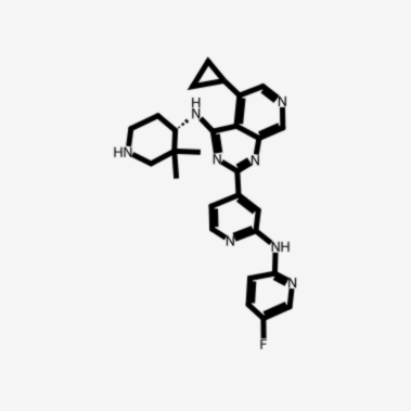 CC1(C)CNCC[C@@H]1Nc1nc(-c2ccnc(Nc3ccc(F)cn3)c2)nc2cncc(C3CC3)c12